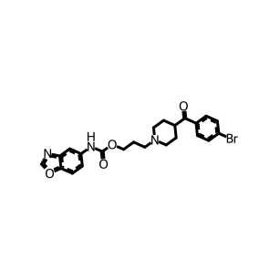 O=C(Nc1ccc2ocnc2c1)OCCCN1CCC(C(=O)c2ccc(Br)cc2)CC1